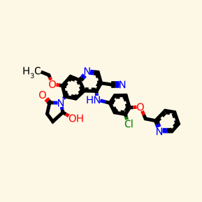 CCOc1cc2ncc(C#N)c(Nc3ccc(OCc4ccccn4)c(Cl)c3)c2cc1N1C(=O)CCC1O